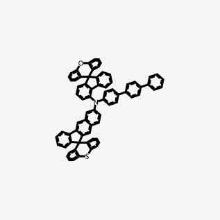 c1ccc(-c2ccc(-c3ccc(N(c4ccc5cc6c(cc5c4)-c4ccccc4C64c5ccccc5Sc5ccccc54)c4cccc5c4-c4ccccc4C54c5ccccc5Oc5ccccc54)cc3)cc2)cc1